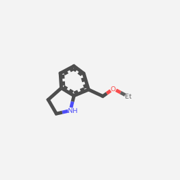 CCOCc1cccc2c1NCC2